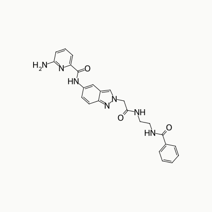 Nc1cccc(C(=O)Nc2ccc3nn(CC(=O)NCCNC(=O)c4ccccc4)cc3c2)n1